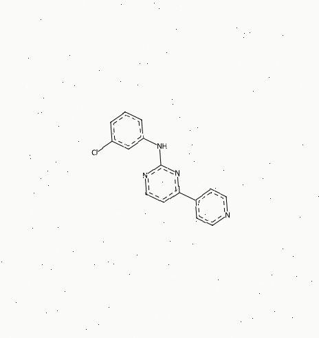 Clc1cccc(Nc2nccc(-c3ccncc3)n2)c1